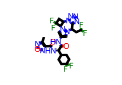 Cc1nonc1C(=O)N[C@H](C(=O)Nc1cnn(C(CC(F)F)c2nnnn2C2CC(F)(F)C2)c1)C1CCC(F)(F)CC1